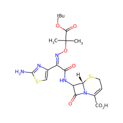 CC(C)(C)OC(=O)C(C)(C)O/N=C(\C(=O)NC1C(=O)N2C(C(=O)O)=CCS[C@@H]12)c1csc(N)n1